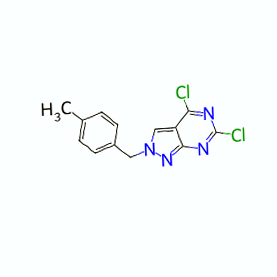 Cc1ccc(Cn2cc3c(Cl)nc(Cl)nc3n2)cc1